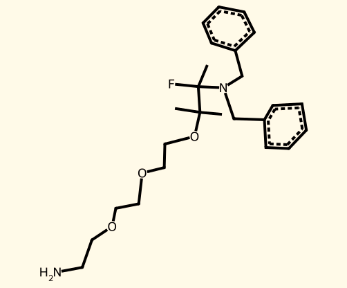 CC(C)(OCCOCCOCCN)C(C)(F)N(Cc1ccccc1)Cc1ccccc1